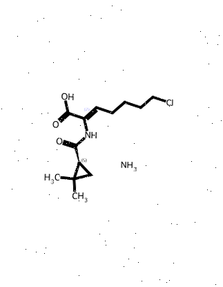 CC1(C)C[C@@H]1C(=O)N/C(=C\CCCCCl)C(=O)O.N